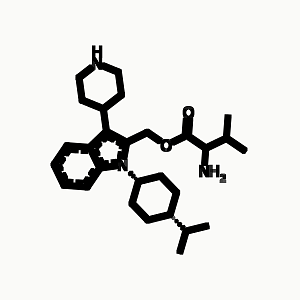 CC(C)C(N)C(=O)OCc1c(C2CCNCC2)c2ccccc2n1[C@H]1CC[C@@H](C(C)C)CC1